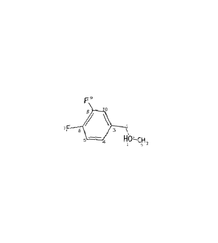 [CH2-][OH+]Cc1ccc(F)c(F)c1